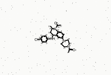 CC(=O)N1CCN(c2ccc3c(c2)C(Nc2ccc(Cl)cc2)CC(C)N3C(C)=O)CC1